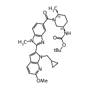 COc1ccc2cc(-c3nc4cc(C(=O)N5C[C@H](NC(=O)OC(C)(C)C)CC[C@@H]5C)ccc4n3C)n(CC3CC3)c2n1